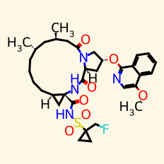 COc1cnc(O[C@@H]2C[C@H]3C(=O)N[C@]4(C(=O)NS(=O)(=O)C5(CF)CC5)C[C@H]4CCCC[C@H](C)C[C@@H](C)CC(=O)N3C2)c2ccccc12